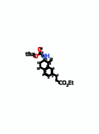 CCOC(=O)CCc1ccc2c(c1)C(C)C(NC(=O)OC(C)(C)C)CC2